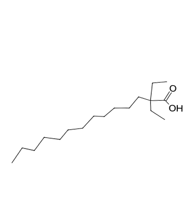 CCCCCCCCCCCCC(CC)(CC)C(=O)O